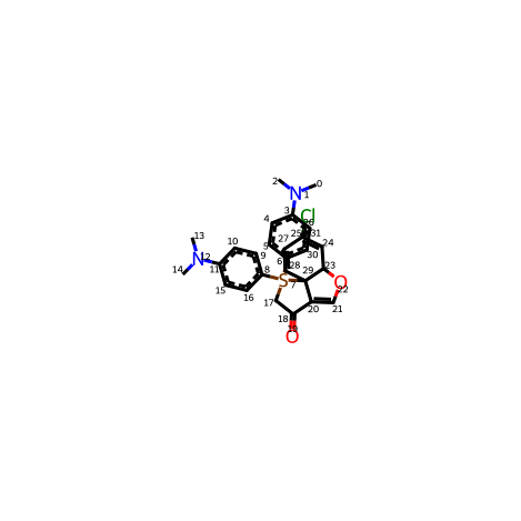 CN(C)c1ccc(S2(c3ccc(N(C)C)cc3)CC(=O)C3=COC4C=C(Cl)C=CC342)cc1